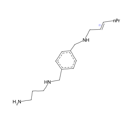 CCC/C=C/CNCc1ccc(CNCCCN)cc1